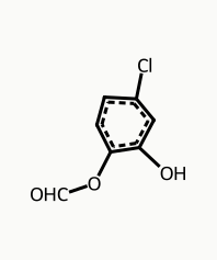 O=COc1ccc(Cl)cc1O